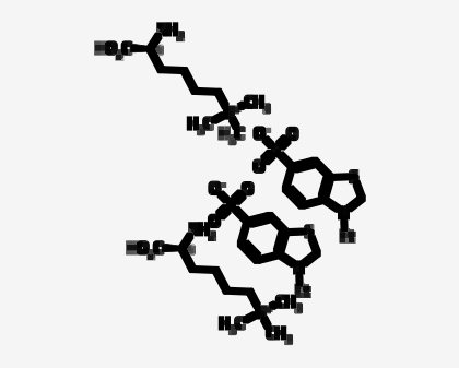 CCN1CSc2cc(S(=O)(=O)[O-])ccc21.CCN1CSc2cc(S(=O)(=O)[O-])ccc21.C[N+](C)(C)CCCC[C@H](N)C(=O)O.C[N+](C)(C)CCCC[C@H](N)C(=O)O